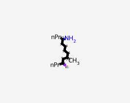 CCCC(N)CCCCC(C)CC(I)CCC